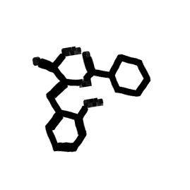 COC(=O)C(=Cc1ccccc1OC)NC(=O)C1CCCCC1